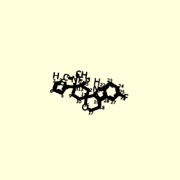 CN(C)C1(c2cccs2)CCC2(CC1(F)F)OCCc1c2[nH]c2ccc(F)cc12